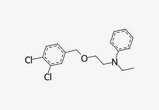 CCN(CCOCc1ccc(Cl)c(Cl)c1)c1ccccc1